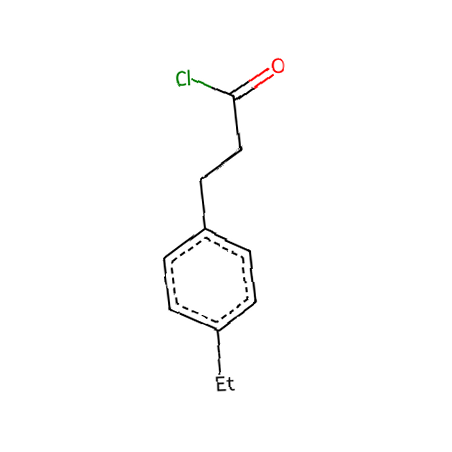 CCc1ccc(CCC(=O)Cl)cc1